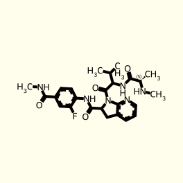 CNC(=O)c1ccc(NC(=O)C2Cc3cccnc3N2C(=O)C(NC(=O)[C@H](C)NC)C(C)C)c(F)c1